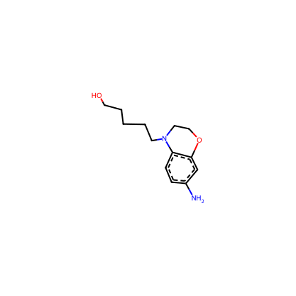 Nc1ccc2c(c1)OCCN2CCCCCO